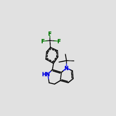 CC(C)(C)N1C=CC=C2CCNC(c3ccc(C(F)(F)F)cc3)=C21